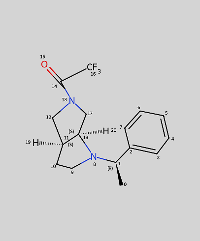 C[C@H](c1ccccc1)N1CC[C@H]2CN(C(=O)C(F)(F)F)C[C@H]21